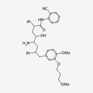 COCCCOc1cc(CC(CC(N)C(O)CC(C(=O)Nc2ccccc2C#N)C(C)C)C(C)C)ccc1OC